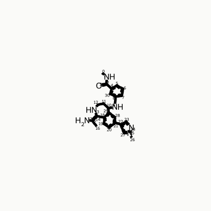 CNC(=O)c1cccc(NC2CCN/C(=C(/C)N)c3ccc(-c4cnn(C)c4)cc32)c1